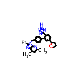 CCc1nc2c(C)cc(C)nc2n1Cc1ccc(-c2cc(C3CCCO3)ccc2-c2nn[nH]n2)cc1